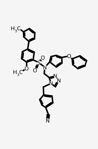 COc1ccc(-c2cccc(C)c2)cc1S(=O)(=O)N(Cc1nncn1Cc1ccc(C#N)cc1)c1ccc(Oc2ccccc2)cc1